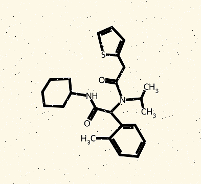 Cc1ccccc1C(C(=O)NC1CCCCC1)N(C(=O)Cc1cccs1)C(C)C